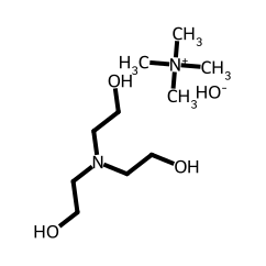 C[N+](C)(C)C.OCCN(CCO)CCO.[OH-]